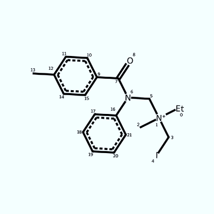 CC[N+](C)(CI)CN(C(=O)c1ccc(C)cc1)c1ccccc1